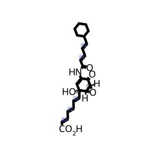 O=C(O)/C=C/C=C/C=C/[C@@]1(O)C=C(NC(=O)/C=C/C=C/C2CCCCC2)C(=O)[C@@H]2O[C@@H]21